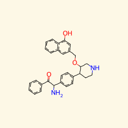 NC(C(=O)c1ccccc1)c1ccc(C2CCNCC2OCc2cc(O)c3ccccc3c2)cc1